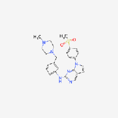 CN1CCN(Cc2cccc(Nc3ncc4ccn(-c5ccc(S(C)(=O)=O)cc5)c4n3)c2)CC1